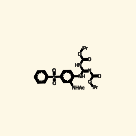 CC(=O)Nc1cc(S(=O)(=O)c2ccccc2)ccc1NC(=NC(=O)OC(C)C)NC(=O)OC(C)C